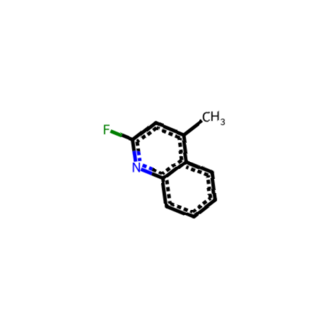 Cc1cc(F)nc2ccccc12